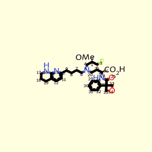 CO[C@H](CF)CN(CCCCc1ccc2c(n1)NCCC2)CC[C@H](NC(=O)C1(c2ccccc2)COC1)C(=O)O